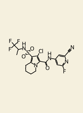 CC(NS(=O)(=O)c1c(Cl)c(C(=O)Nc2cc(F)nc(C#N)c2)n2c1CCCC2)C(F)(F)F